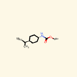 CC([C@H]1CC[C@H](NC(=O)OC(C)(C)C)CC1)C(C)(C)C